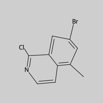 Cc1cc(Br)cc2c(Cl)nccc12